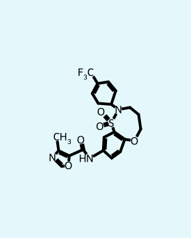 Cc1ncoc1C(=O)Nc1ccc2c(c1)S(=O)(=O)N(C1C=CC(C(F)(F)F)=CC1)CCCO2